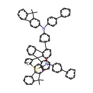 CC1(C)c2ccccc2-c2ccc(N(c3ccc(-c4ccccc4)cc3)c3ccc(-c4ccc(N(c5ccc(-c6ccccc6)cc5)c5ccc6c(c5)C(C)(C)c5ccccc5-6)c5c4-c4ccccc4C54c5ccccc5Sc5ccccc54)cc3)cc21